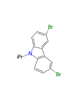 CC(C)n1c2ccc(Br)cc2c2cc(Br)ccc21